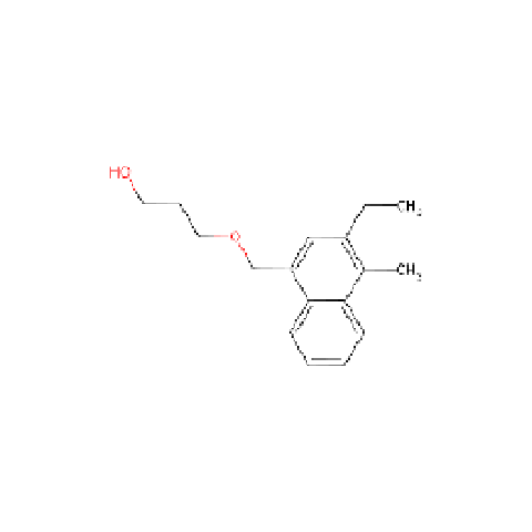 CCc1cc(COCCCO)c2ccccc2c1C